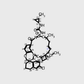 CO[C@H]1/C=C/C[C@H](C)C[S@@](=O)(NC(=O)N[C@@H]2C[C@@H]2C)=NC(=O)c2ccc3c(c2)N(C[C@@H]2CC[C@H]21)C[C@@]1(CCCc2cc(Cl)ccc21)CO3